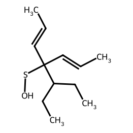 CC=CC(C=CC)(SO)C(CC)CC